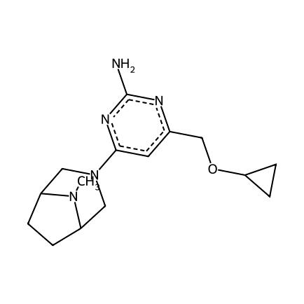 CN1C2CCC1CN(c1cc(COC3CC3)nc(N)n1)C2